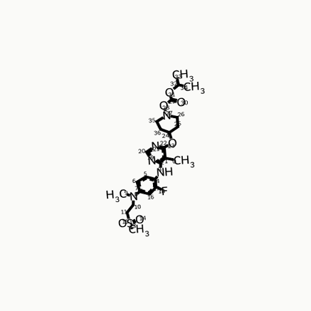 Cc1c(Nc2ccc(N(C)CCS(C)(=O)=O)cc2F)ncnc1OC1CCN(OC(=O)OC(C)C)CC1